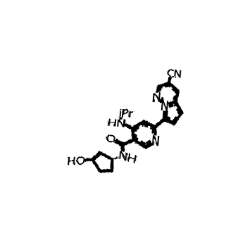 CC(C)Nc1cc(-c2ccc3cc(C#N)cnn23)ncc1C(=O)N[C@@H]1CCC(O)C1